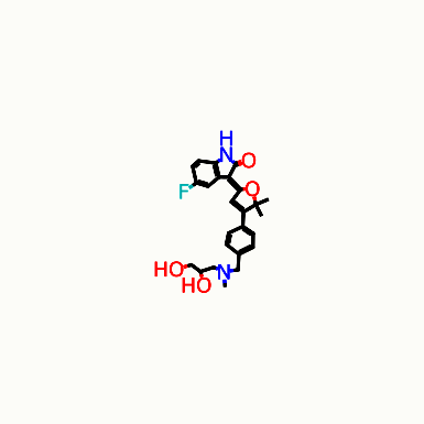 CN(Cc1ccc(C2=CC(=C3C(=O)Nc4ccc(F)cc43)OC2(C)C)cc1)CC(O)CO